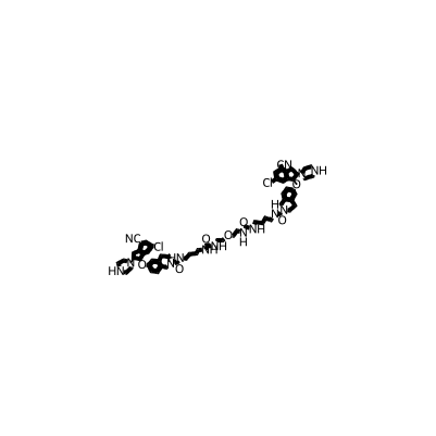 N#Cc1cc(Cl)cc2c1C[C@H](N1CCNCC1)[C@H]2Oc1ccc2c(c1)CCN(C(=O)NCCCCNC(=O)NCCOCCNC(=O)NCCCCNC(=O)N1CCc3cc(O[C@H]4c5cc(Cl)cc(C#N)c5C[C@@H]4N4CCNCC4)ccc3C1)C2